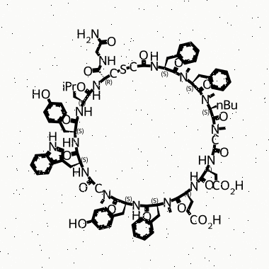 CCCC[C@H]1C(=O)N(C)CC(=O)N[C@@H](CC(=O)O)C(=O)N[C@@H](CCC(=O)O)C(=O)N(C)[C@@H](Cc2ccccc2)C(=O)N[C@@H](Cc2ccc(O)cc2)C(=O)N(C)CC(=O)N[C@@H](Cc2c[nH]c3ccccc23)C(=O)N[C@@H](Cc2ccc(O)cc2)C(=O)N[C@@H](CC(C)C)C(=O)N[C@H](C(=O)NCC(N)=O)CSCC(=O)N[C@@H](Cc2ccccc2)C(=O)N(C)[C@@H](Cc2ccccc2)C(=O)N1C